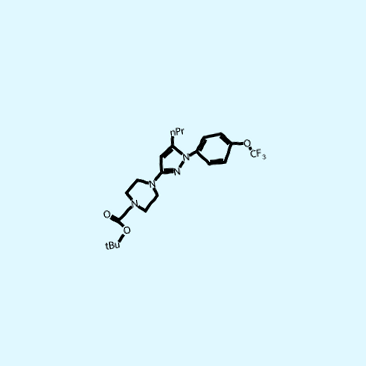 CCCc1cc(N2CCN(C(=O)OC(C)(C)C)CC2)nn1-c1ccc(OC(F)(F)F)cc1